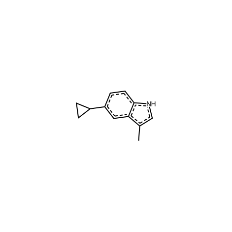 Cc1c[nH]c2ccc(C3CC3)cc12